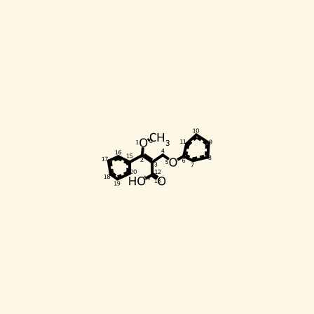 CO/C(=C(\COc1ccccc1)C(=O)O)c1ccccc1